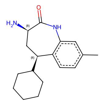 Cc1ccc2c(c1)NC(=O)[C@H](N)C[C@@H]2C1CCCCC1